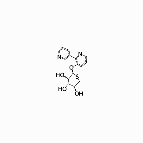 O[C@@H]1[C@@H](O)[C@@H](Oc2cccnc2-c2cccnc2)SC[C@H]1O